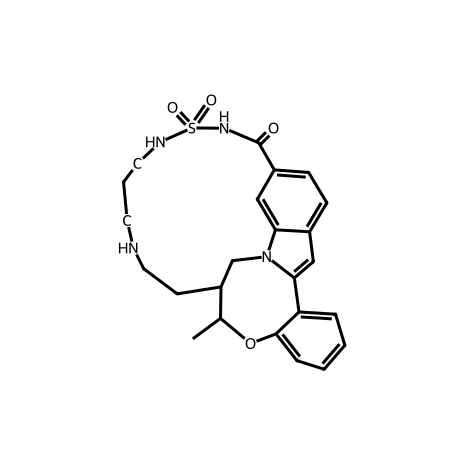 CC1Oc2ccccc2-c2cc3ccc4cc3n2CC1CCNCCCNS(=O)(=O)NC4=O